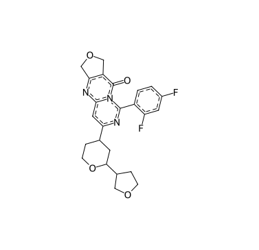 O=c1c2c(nc3cc(C4CCOC(C5CCOC5)C4)nc(-c4ccc(F)cc4F)n13)COC2